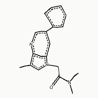 Cc1cn(CC(=O)N(C)C)c2cc(-c3ccccc3)cnc12